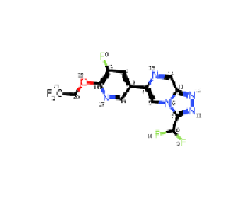 Fc1cc(-c2cn3c(C(F)F)nnc3cn2)cnc1OCC(F)(F)F